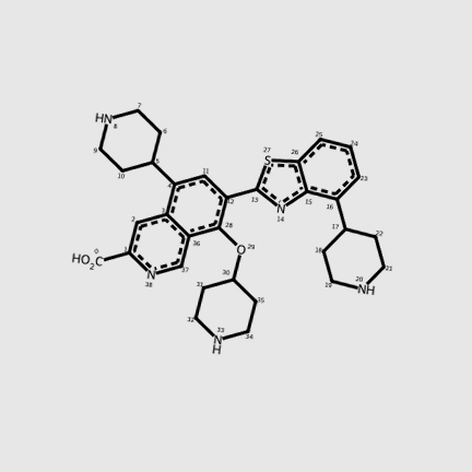 O=C(O)c1cc2c(C3CCNCC3)cc(-c3nc4c(C5CCNCC5)cccc4s3)c(OC3CCNCC3)c2cn1